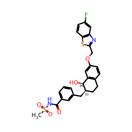 CS(=O)(=O)NC(=O)c1cccc(C[C@@H]2CCc3ccc(OCc4nc5cc(F)ccc5s4)cc3[C@@H]2O)c1